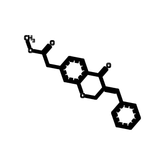 COC(=O)Cc1ccc2c(c1)OCC(=Cc1ccccc1)C2=O